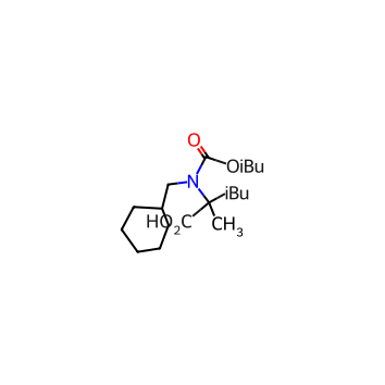 CCC(C)C(C)(C(=O)O)N(CC1CCCCC1)C(=O)OCC(C)C